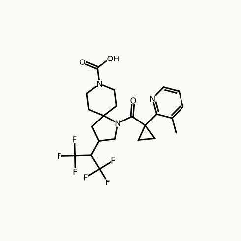 Cc1cccnc1C1(C(=O)N2CC(C(C(F)(F)F)C(F)(F)F)CC23CCN(C(=O)O)CC3)CC1